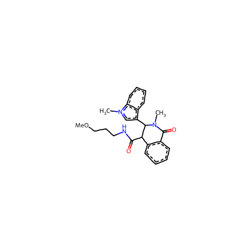 COCCCNC(=O)C1c2ccccc2C(=O)N(C)C1c1cn(C)c2ccccc12